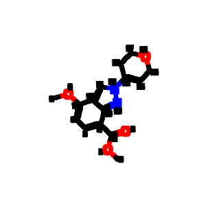 COC(=O)c1ccc(OC)c2cn(C3=CCOCC3)nc12